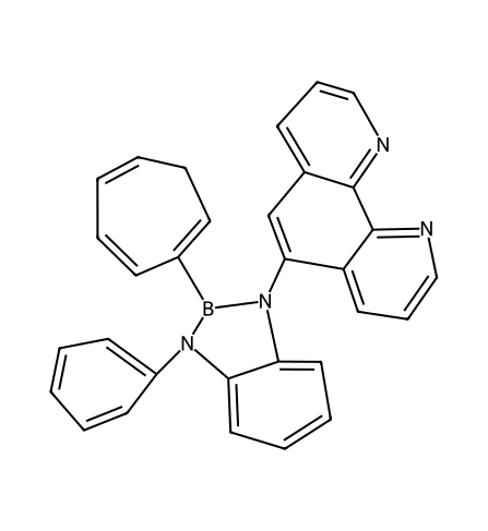 C1=CCC=C(B2N(c3ccccc3)c3ccccc3N2c2cc3cccnc3c3ncccc23)C=C1